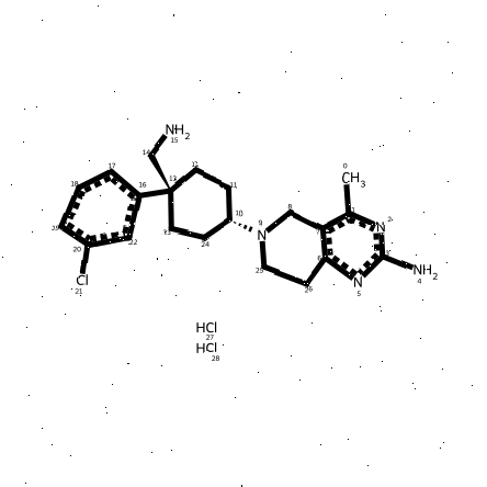 Cc1nc(N)nc2c1CN([C@H]1CC[C@@](CN)(c3cccc(Cl)c3)CC1)CC2.Cl.Cl